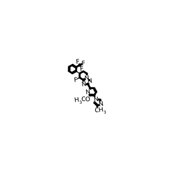 COc1nc(-c2nc3n(n2)CC[C@H](c2ccccc2C(F)(F)F)[C@@H]3F)ccc1-n1cnc(C)c1